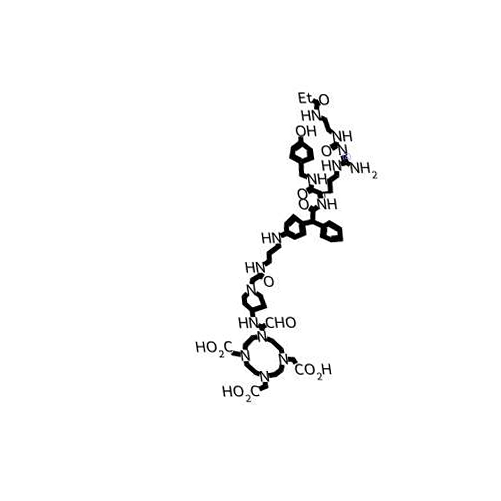 CCC(=O)NCCNC(=O)/N=C(/N)NCCC[C@@H](NC(=O)C(c1ccccc1)c1ccc(NCCCNC(=O)CN2CCC(NC(C=O)N3CCN(CC(=O)O)CCN(CC(=O)O)CCN(CC(=O)O)CC3)CC2)cc1)C(=O)NCc1ccc(O)cc1